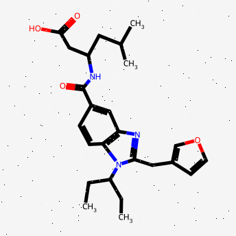 CCC(CC)n1c(Cc2ccoc2)nc2cc(C(=O)NC(CC(=O)O)CC(C)C)ccc21